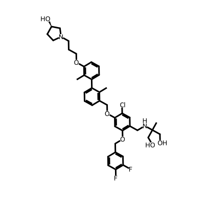 Cc1c(COc2cc(OCc3ccc(F)c(F)c3)c(CNC(C)(CO)CO)cc2Cl)cccc1-c1cccc(OCCCN2CC[C@@H](O)C2)c1C